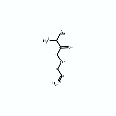 C=CCOCC(=O)C(C)C(C)CC